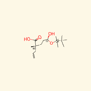 C=CC[C@@](C)(CC[C@@H](O)O[Si](C)(C)C(C)(C)C)C(=O)O